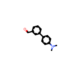 CN(C)c1ccc(-c2cccc(C=O)c2)cc1